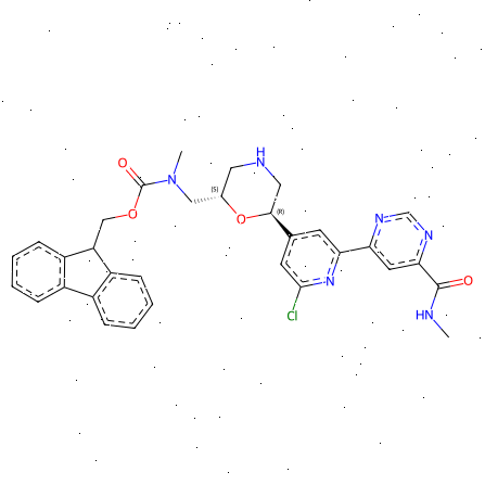 CNC(=O)c1cc(-c2cc([C@@H]3CNC[C@@H](CN(C)C(=O)OCC4c5ccccc5-c5ccccc54)O3)cc(Cl)n2)ncn1